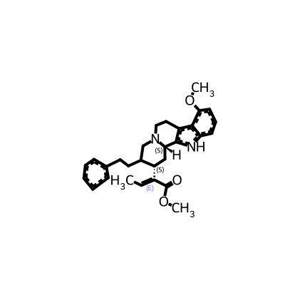 C/C=C(/C(=O)OC)[C@H]1C[C@H]2c3[nH]c4cccc(OC)c4c3CCN2CC1CCc1ccccc1